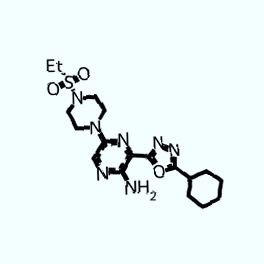 CCS(=O)(=O)N1CCN(c2cnc(N)c(-c3nnc(C4CCCCC4)o3)n2)CC1